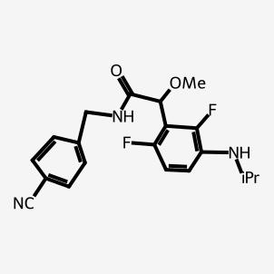 COC(C(=O)NCc1ccc(C#N)cc1)c1c(F)ccc(NC(C)C)c1F